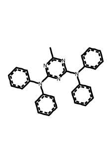 Cc1nc(N(c2ccccc2)c2ccccc2)nc(N(c2ccccc2)c2ccccc2)n1